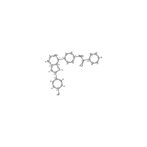 O=C(Nc1ccc(-c2ncnc3cc(-c4ccc(F)cc4)sc23)cc1)c1ccccc1